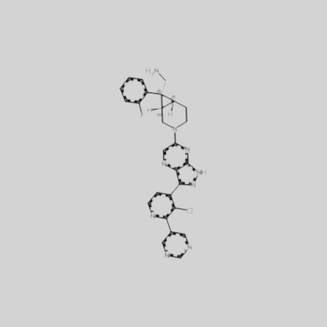 NC[C@]1(c2ccccc2F)[C@@H]2CCN(c3cnc4c(-c5ccnc(-c6cncnc6)c5Cl)n[nH]c4n3)C[C@@H]21